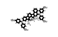 CC(C)(C)c1ccc(N(c2ccc(C(C)(C)C)cc2)c2ccc3c(c2)C(C)(C)c2c-3ccc3c2C(C)(C)c2cc(N(c4ccc(C(C)(C)C)cc4)c4ccc(C(C)(C)C)cc4)c4ccccc4c2-3)cc1